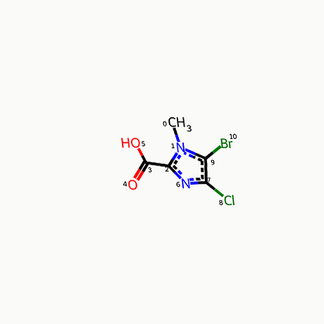 Cn1c(C(=O)O)nc(Cl)c1Br